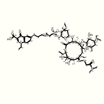 CC[C@H]1OC(=O)[C@H](C)[C@@H](O[C@H]2C[C@@](C)(OC)[C@@H](OS(=O)(=O)CCNCCCc3ccc4c(c3)c(=O)c(C(=O)O)cn4CC)[C@H](C)O2)[C@H](C)[C@@H](O[C@@H]2O[C@H](C)C[C@H](N(C)C)[C@H]2O)[C@](C)(O)C[C@@H](C)/C(=N\OCC(=O)N(C)C)[C@H](C)[C@@H](O)[C@]1(C)O